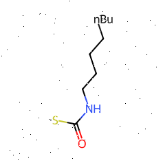 CCCCCCCCNC(=O)[S]